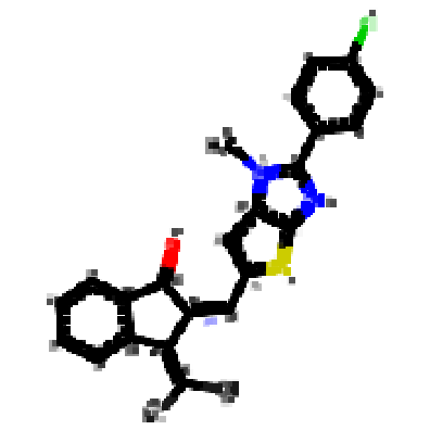 Cn1c(-c2ccc(Cl)cc2)nc2sc(/C=C3\C(=O)c4ccccc4C3=C(C#N)C#N)cc21